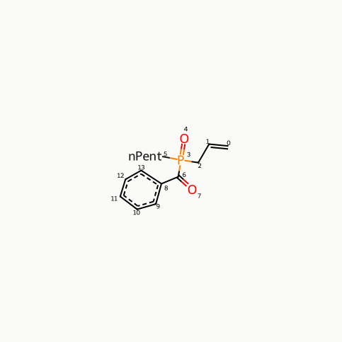 C=CCP(=O)(CCCCC)C(=O)c1ccccc1